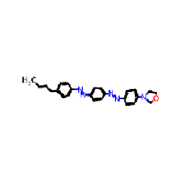 CCCCc1ccc(N=Nc2ccc(N=Nc3ccc(N4CCOC4)cc3)cc2)cc1